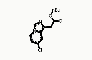 CCCCOC(=O)Cc1ncn2ccc(Cl)cc12